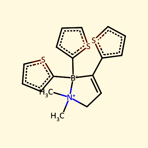 C[N+]1(C)CC=C(c2cccs2)[B-]1(c1cccs1)c1cccs1